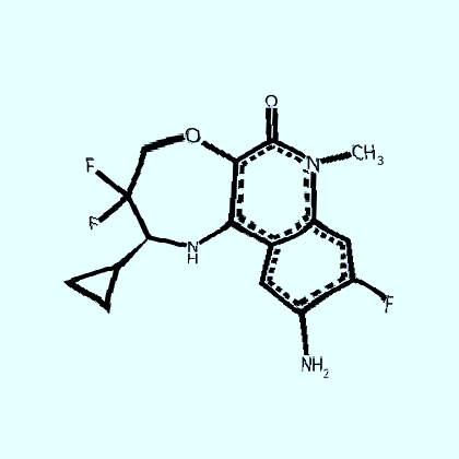 Cn1c(=O)c2c(c3cc(N)c(F)cc31)N[C@@H](C1CC1)C(F)(F)CO2